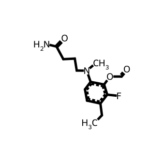 CCc1ccc(N(C)CCCC(N)=O)c(OC=O)c1F